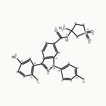 CC1(NC(=O)c2ccc3c(-c4cc(C#N)ccc4F)nn(-c4ccc(F)cc4)c3c2)CCS(=O)(=O)C1